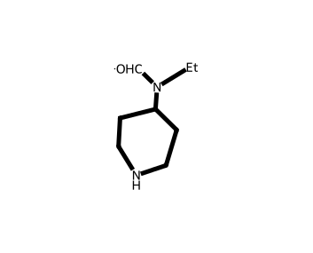 CCN([C]=O)C1CCNCC1